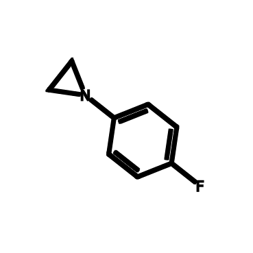 Fc1ccc(N2CC2)cc1